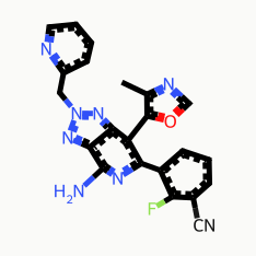 Cc1ncoc1-c1c(-c2cccc(C#N)c2F)nc(N)c2nn(Cc3ccccn3)nc12